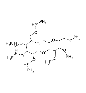 CC1OC(COP)C(OP)C(OP)C1OC1OC(COPP)C(OPP)C(OPP)C1OPP